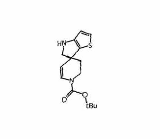 CC(C)(C)OC(=O)N1C=CC2(CC1)CNc1ccsc12